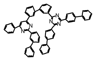 c1ccc(-c2ccc(-c3nc(-c4ccc(-c5ccccc5)cc4)nc(-c4cccc(-c5cccc(-c6cc(-c7ccccc7)nc(-c7cccc(-c8ccccc8)c7)n6)c5)c4)n3)cc2)cc1